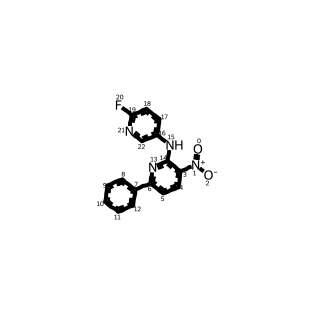 O=[N+]([O-])c1ccc(-c2ccccc2)nc1Nc1ccc(F)nc1